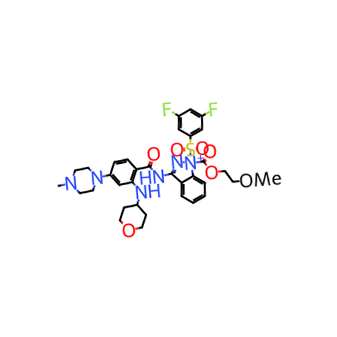 COCCOC(=O)[N+]1(S(=O)(=O)c2cc(F)cc(F)c2)N=C(NC(=O)c2ccc(N3CCN(C)CC3)cc2NC2CCOCC2)c2ccccc21